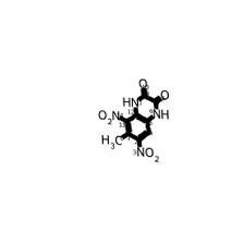 Cc1c([N+](=O)[O-])cc2[nH]c(=O)c(=O)[nH]c2c1[N+](=O)[O-]